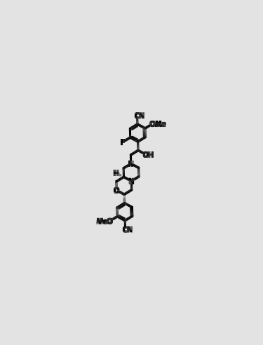 COc1cc([C@H]2CN3CCN(CC(O)c4cc(OC)c(C#N)cc4F)C[C@@H]3CO2)ccc1C#N